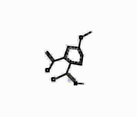 C=C(Cl)c1cc(OC)ccc1/C(Cl)=N\C